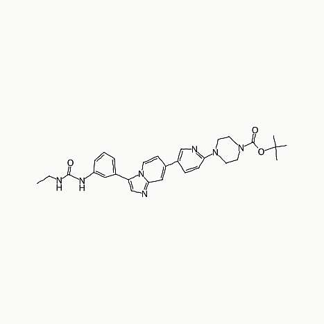 CCNC(=O)Nc1cccc(-c2cnc3cc(-c4ccc(N5CCN(C(=O)OC(C)(C)C)CC5)nc4)ccn23)c1